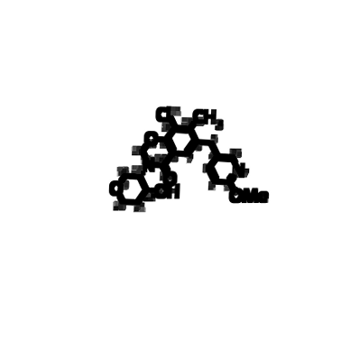 COc1ccc(Cc2cc3c(c(Cl)c2C)OCN([C@H]2COCC[C@@H]2O)C3=O)cn1